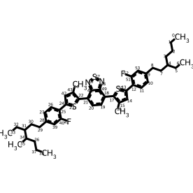 CCCCC(CC)CCc1ccc(-c2cc(C)c(-c3ccc(-c4sc(-c5ccc(CCC(CC)C(C)CCC)cc5F)cc4C)c4nsnc34)s2)c(F)c1